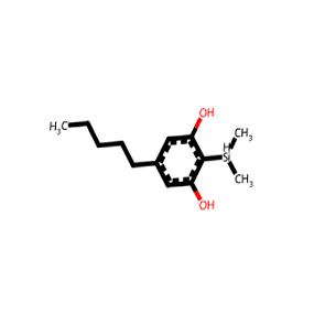 CCCCCc1cc(O)c([SiH](C)C)c(O)c1